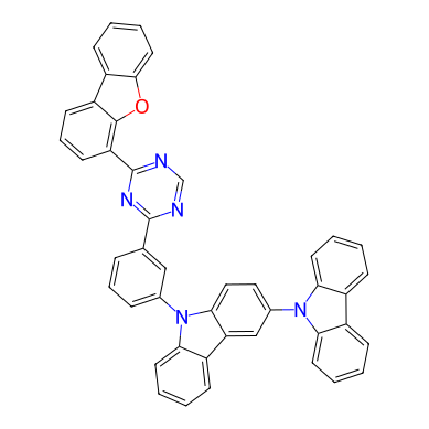 c1cc(-c2ncnc(-c3cccc4c3oc3ccccc34)n2)cc(-n2c3ccccc3c3cc(-n4c5ccccc5c5ccccc54)ccc32)c1